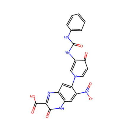 O=C(Nc1ccccc1)Nc1cn(-c2cc3nc(C(=O)O)c(=O)[nH]c3cc2[N+](=O)[O-])ccc1=O